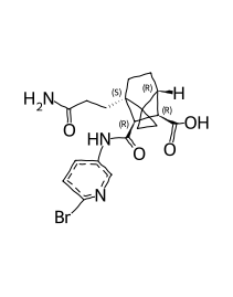 NC(=O)CC[C@@]12CC[C@H]([C@@H](C(=O)O)[C@H]1C(=O)Nc1ccc(Br)nc1)C21CC1